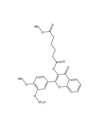 CCCCOC(=O)CCCCC(=O)Oc1c(-c2ccc(OCCCC)c(OS(=O)(=O)O)c2)oc2ccccc2c1=O